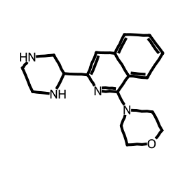 c1ccc2c(N3CCOCC3)nc(C3CNCCN3)cc2c1